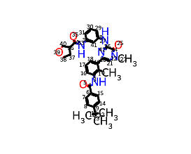 Cc1c(NC(=O)c2ccc(C(C)(C)C)cc2)cccc1-c1cn(C)c(=O)c(Nc2cccc(NC(=O)C3CCOC3)c2)n1